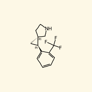 FC(F)(F)c1ccccc1[C@H]1C[C@@]12CCNC2